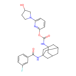 O=C(NC12CC3CC(C1)CC(NC(=O)c1cccc(F)c1)(C3)C2)Oc1cccc(N2CCC(O)C2)n1